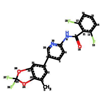 Cc1cc(-c2ccc(NC(=O)c3c(F)cccc3F)nc2)cc2c1OC(F)(F)O2